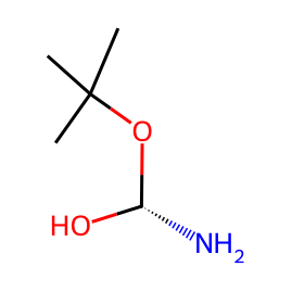 CC(C)(C)O[C@H](N)O